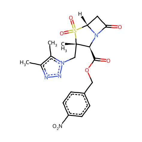 Cc1nnn(C[C@@]2(C)[C@H](C(=O)OCc3ccc([N+](=O)[O-])cc3)N3C(=O)C[C@H]3S2(=O)=O)c1C